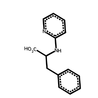 O=C(O)C(Cc1ccccc1)Nc1ccccn1